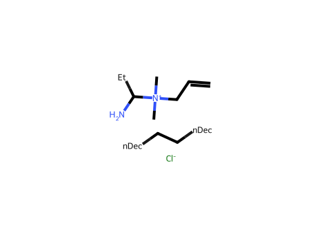 C=CC[N+](C)(C)C(N)CC.CCCCCCCCCCCCCCCCCCCCCC.[Cl-]